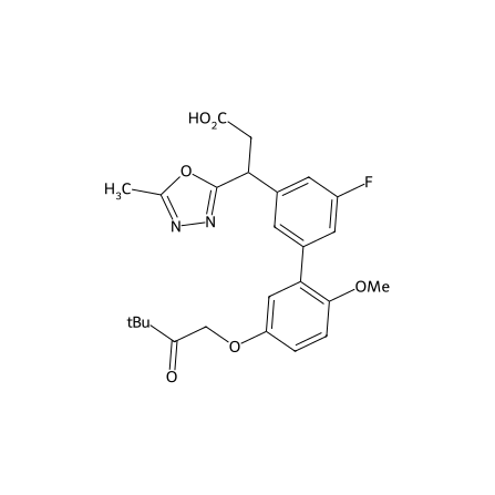 COc1ccc(OCC(=O)C(C)(C)C)cc1-c1cc(F)cc(C(CC(=O)O)c2nnc(C)o2)c1